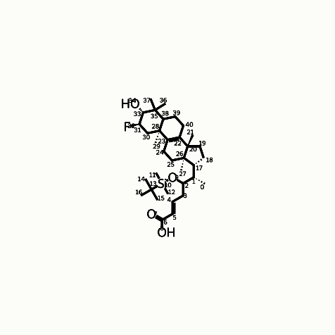 C[C@H](C(C/C=C/C(=O)O)O[Si](C)(C)C(C)(C)C)[C@H]1CC[C@@]2(C)C3=C(CC[C@]12C)[C@@]1(C)C[C@@H](F)[C@H](O)C(C)(C)C1CC3